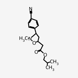 CC(C)COC(=O)CC1CC(c2ccc(C#N)cc2)N(C)O1